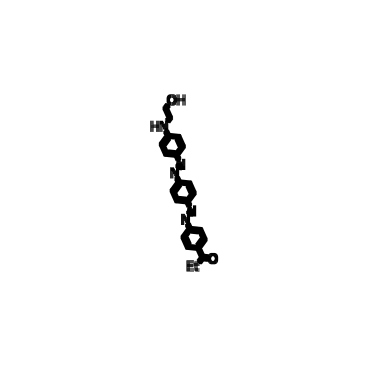 CCC(=O)c1ccc(N=Nc2ccc(N=Nc3ccc(NCCO)cc3)cc2)cc1